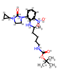 CC(CCCCNC(=O)OC(C)(C)C)Nc1c(N2CCN(C3CC3)C2=O)cccc1[N+](=O)[O-]